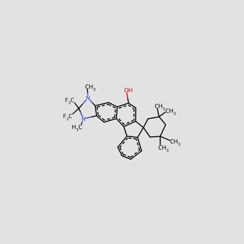 CN1c2cc3c(O)cc4c(c3cc2N(C)C1(C(F)(F)F)C(F)(F)F)-c1ccccc1C41CC(C)(C)CC(C)(C)C1